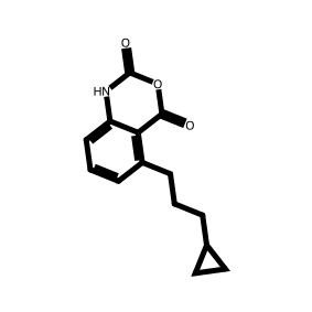 O=c1[nH]c2cccc(CCCC3CC3)c2c(=O)o1